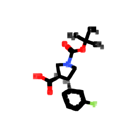 CC(C)(C)OC(=O)N1C[C@H](C(=O)O)[C@@H](c2cccc(F)c2)C1